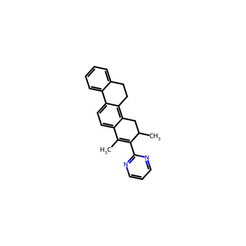 CC1=C(c2ncccn2)C(C)Cc2c1ccc1c2CCc2ccccc2-1